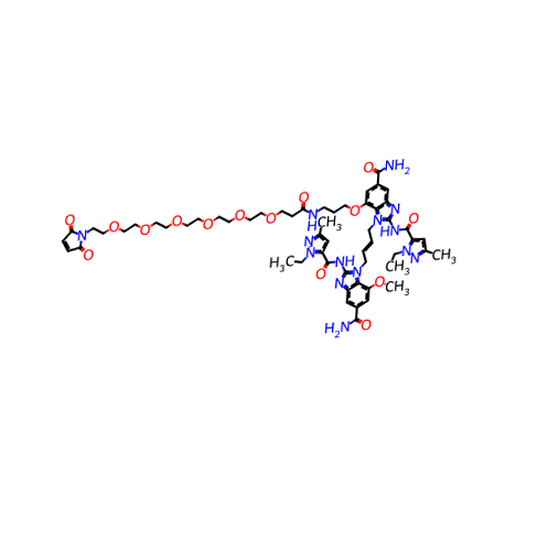 CCn1nc(C)cc1C(=O)Nc1nc2cc(C(N)=O)cc(OC)c2n1C/C=C/Cn1c(NC(=O)c2cc(C)nn2CC)nc2cc(C(N)=O)cc(OCCCNC(=O)CCOCCOCCOCCOCCOCCOCCN3C(=O)C=CC3=O)c21